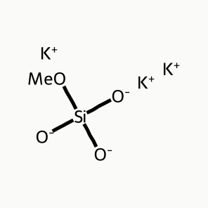 CO[Si]([O-])([O-])[O-].[K+].[K+].[K+]